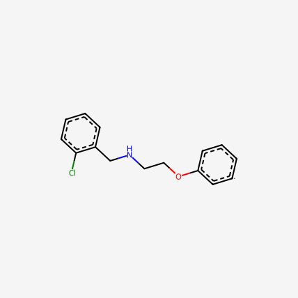 Clc1ccccc1CNCCOc1c[c]ccc1